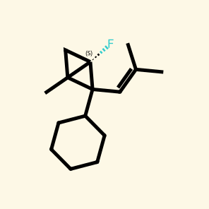 CC(C)=CC1(C2CCCCC2)C2(C)C[C@]21F